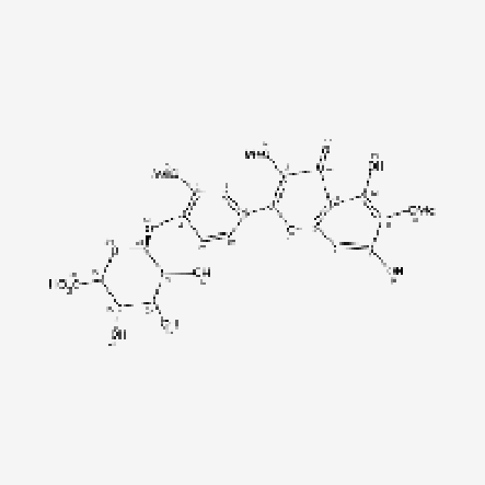 COc1cc(-c2oc3cc(O)c(OC)c(O)c3c(=O)c2OC)ccc1O[C@@H]1OC(C(=O)O)[C@@H](O)C(O)C1O